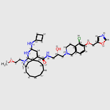 COCCN(C)C1NC(NC2CCC2)CC(C(=O)NC[C@H](O)CN2CCc3c(ccc(OCc4cnco4)c3Cl)C2)C12CCCCCCCCC2